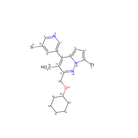 CCc1ccc2c(-c3cncc(Br)c3)c(C(=O)O)c(COC3CCCCC3)nn12